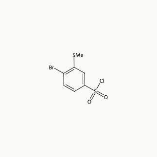 CSc1cc(S(=O)(=O)Cl)ccc1Br